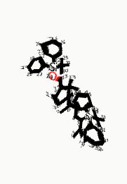 CC(C)C(CCC(C)C1(C)CCC(CO[Si](c2ccccc2)(c2ccccc2)C(C)(C)C)C1(C)C)[Si](c1ccccc1)(c1ccccc1)C(C)(C)C